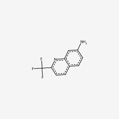 Nc1ccc2ccc(C(F)(F)F)nc2c1